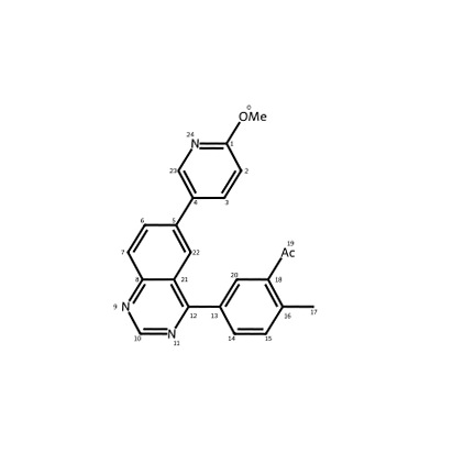 COc1ccc(-c2ccc3ncnc(-c4ccc(C)c(C(C)=O)c4)c3c2)cn1